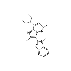 CCC(CC)c1cc(C)nn2c(-c3cc4ccccc4n3C)c(C)nc12